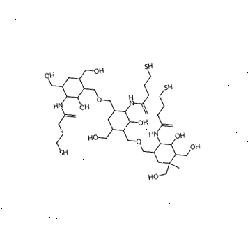 C=C(CCCS)NC1C(CO)CC(CO)C(COCC2CC(CO)C(COCC3CC(C)(CO)C(CO)C(O)C3NC(=C)CCCS)C(O)C2NC(=C)CCCS)C1O